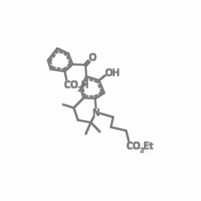 CCOC(=O)CCCN1c2cc(O)c(C(=O)c3ccccc3C(=O)O)cc2C(C)CC1(C)C